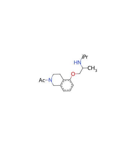 CC(=O)N1CCc2c(cccc2OCC(C)NC(C)C)C1